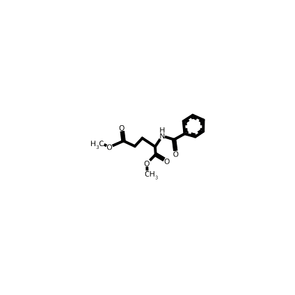 COC(=O)CCC(NC(=O)c1ccccc1)C(=O)OC